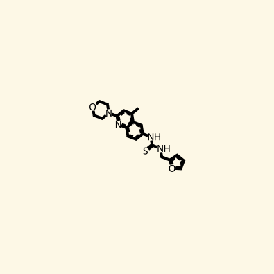 Cc1cc(N2CCOCC2)nc2ccc(NC(=S)NCc3ccco3)cc12